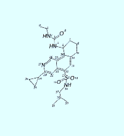 CCNC(=O)NC1CCCc2cc(S(=O)(=O)NCC(C)C)c3cc(C4CC4)ncc3c21